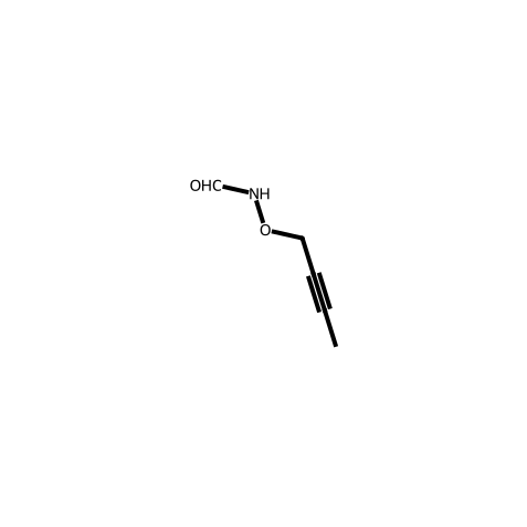 CC#CCONC=O